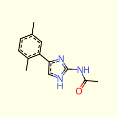 CC(=O)Nc1nc(-c2cc(C)ccc2C)c[nH]1